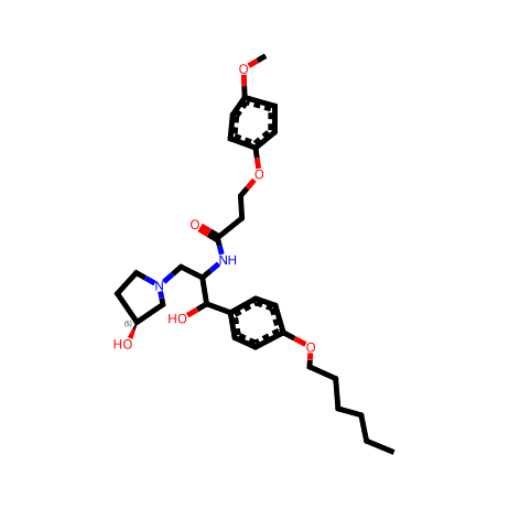 CCCCCCOc1ccc(C(O)C(CN2CC[C@H](O)C2)NC(=O)CCOc2ccc(OC)cc2)cc1